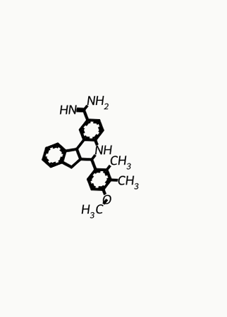 COc1ccc(C2Nc3ccc(C(=N)N)cc3C3c4ccccc4CC23)c(C)c1C